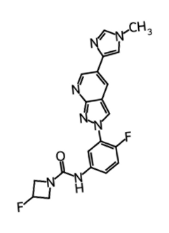 Cn1cnc(-c2cnc3nn(-c4cc(NC(=O)N5CC(F)C5)ccc4F)cc3c2)c1